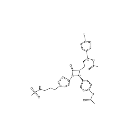 CC(=O)Oc1ccc([C@@H]2C(CC[C@H](OC(C)=O)c3ccc(F)cc3)C(=O)N2c2ccc(CCCNS(C)(=O)=O)cc2)cc1